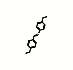 CCc1ccc(C=Nc2ccc(CC)cc2)cc1